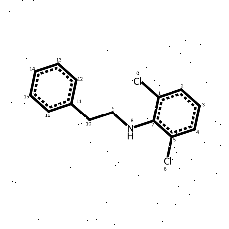 Clc1cccc(Cl)c1NCCc1ccccc1